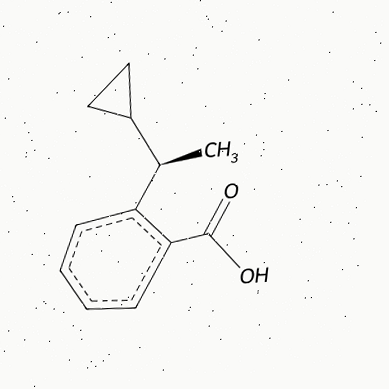 C[C@@H](c1ccccc1C(=O)O)C1CC1